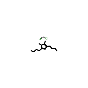 CCCCC1=CC(CCCC)=C(C)[C]1C.[Cl][Zr][Cl]